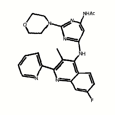 CC(=O)Nc1cc(Nc2c(C)c(-c3ccccn3)nc3cc(F)ccc23)nc(N2CCOCC2)n1